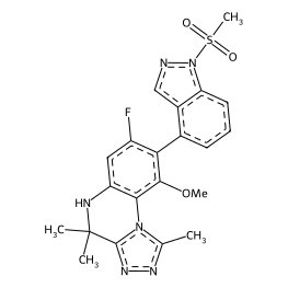 COc1c(-c2cccc3c2cnn3S(C)(=O)=O)c(F)cc2c1-n1c(C)nnc1C(C)(C)N2